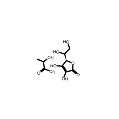 CC(O)C(=O)O.O=C1O[C@H](C(O)CO)C(O)=C1O